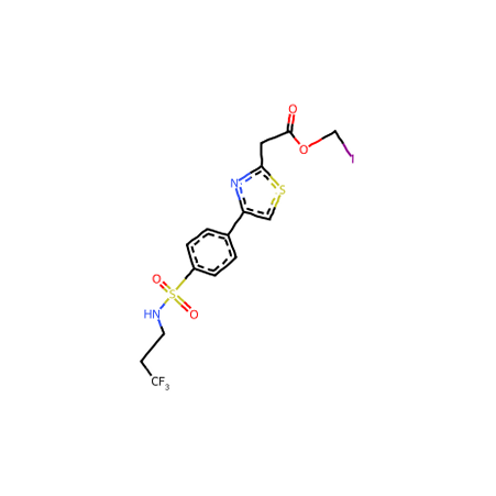 O=C(Cc1nc(-c2ccc(S(=O)(=O)NCCC(F)(F)F)cc2)cs1)OCI